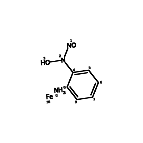 N.O=NN(O)c1ccccc1.[Fe]